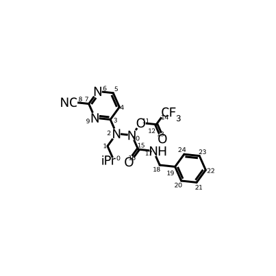 CC(C)CN(c1ccnc(C#N)n1)N(OC(=O)C(F)(F)F)C(=O)NCc1ccccc1